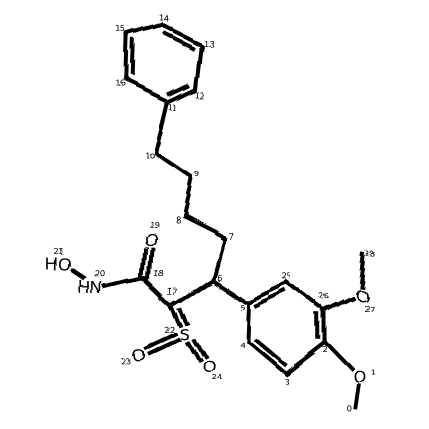 COc1ccc(C(CCCCc2ccccc2)C(C(=O)NO)=S(=O)=O)cc1OC